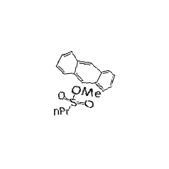 CCCS(=O)(=O)OC.c1ccc2cc3ccccc3cc2c1